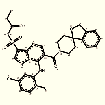 CCC(=O)NS(=O)(=O)c1cnn2c(Nc3cc(Cl)ccc3Cl)c(C(=O)N3CCC4(CC3)OCc3ccccc34)cnc12